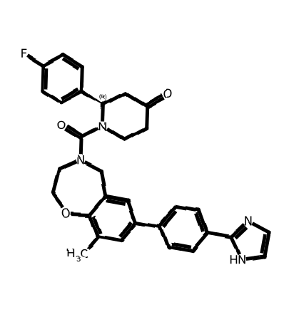 Cc1cc(-c2ccc(-c3ncc[nH]3)cc2)cc2c1OCCN(C(=O)N1CCC(=O)C[C@@H]1c1ccc(F)cc1)C2